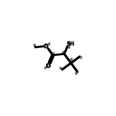 COC(=O)C(S)C(C)(C)C